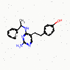 CC(Nc1nc(N)ncc1CCc1ccc(O)cc1)c1ccccc1